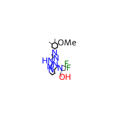 COc1cc(-n2cnc(Nc3nc(N4CC(F)(F)C[C@H]4CO)c4cccn4n3)c2)cc(C)c1C